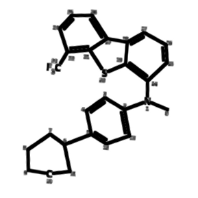 CN(c1ccc(C2CCCCC2)cc1)c1cccc2c1sc1c(C(F)(F)F)cccc12